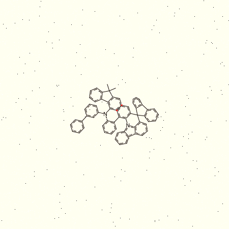 CC1(C)c2ccccc2-c2c(N(c3cccc(-c4ccccc4)c3)c3ccccc3-c3cccc4c3-n3c5ccccc5c5cccc(c53)C43c4ccccc4-c4ccccc43)cccc21